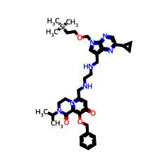 CC(C)N1CCn2c(CNCCNCc3cn(COCC[Si](C)(C)C)c4ncc(C5CC5)nc34)cc(=O)c(OCc3ccccc3)c2C1=O